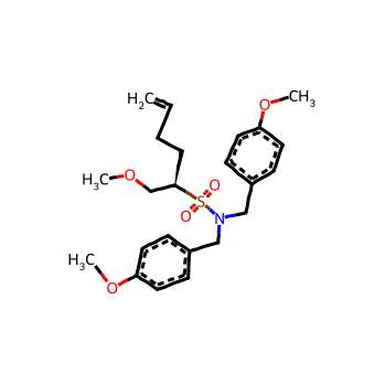 C=CCC[C@H](COC)S(=O)(=O)N(Cc1ccc(OC)cc1)Cc1ccc(OC)cc1